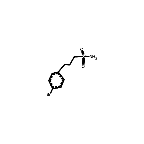 NS(=O)(=O)CCCc1ccc(Br)cc1